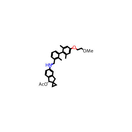 COCCOc1cc(C)c(-c2cccc(CNc3ccc4c(c3)CC3(CC3)[C@@H]4OC(C)=O)c2C)c(C)c1